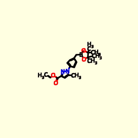 CCOC(=O)c1cc(C)n(-c2ccc(CB3OC(C)(C)C(C)(C)O3)cc2)n1